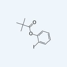 CC(C)(C)C(=O)Oc1ccccc1I